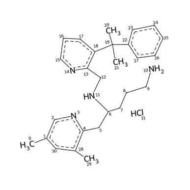 Cc1cnc(CC(CCCN)NCc2ncccc2C(C)(C)c2ccccc2)c(C)c1.Cl